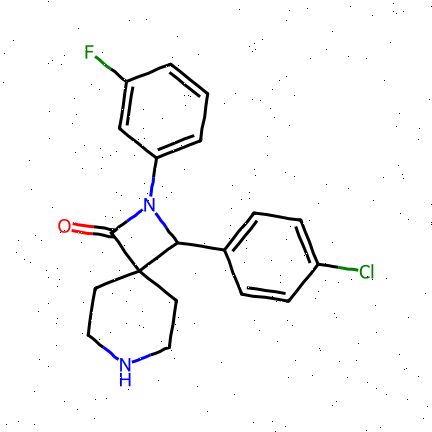 O=C1N(c2cccc(F)c2)C(c2ccc(Cl)cc2)C12CCNCC2